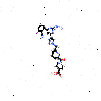 N#Cc1c(I)cccc1-c1cc(-c2cn(Cc3cccc(C(=O)N4CCC(C(=O)O)CC4)n3)nn2)nc(N)n1